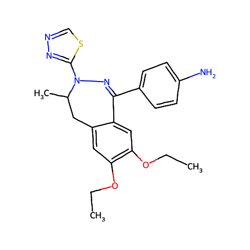 CCOc1cc2c(cc1OCC)C(c1ccc(N)cc1)=NN(c1nncs1)C(C)C2